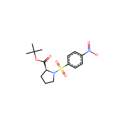 CC(C)(C)OC(=O)[C@@H]1CCCN1S(=O)(=O)c1ccc([N+](=O)[O-])cc1